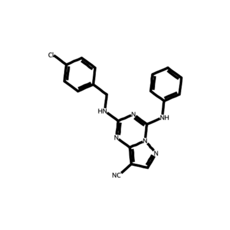 N#Cc1cnn2c(Nc3ccccc3)nc(NCc3ccc(Cl)cc3)nc12